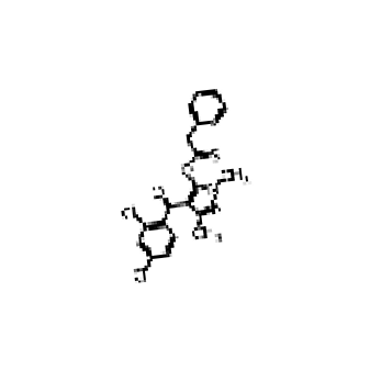 Cc1nn(C)c(OC(=S)Cc2ccccc2)c1C(=O)c1ccc(Cl)cc1Cl